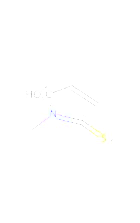 C=CC(=O)O.CN=C=S